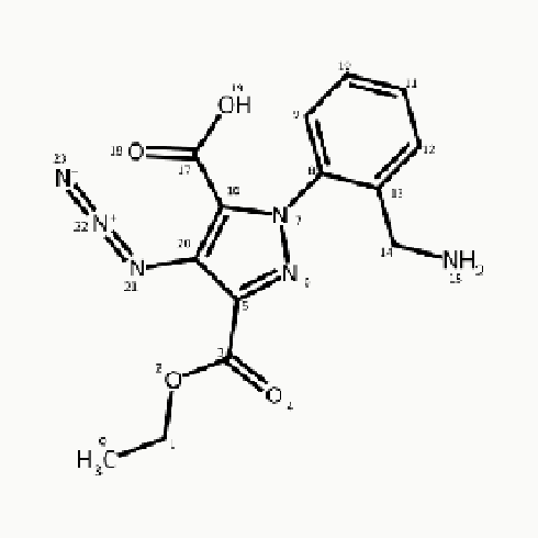 CCOC(=O)c1nn(-c2ccccc2CN)c(C(=O)O)c1N=[N+]=[N-]